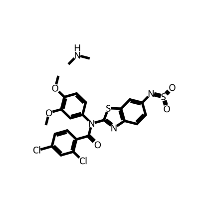 CNC.COc1ccc(N(C(=O)c2ccc(Cl)cc2Cl)c2nc3ccc(N=S(=O)=O)cc3s2)cc1OC